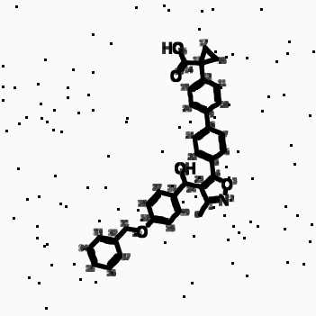 Cc1noc(-c2ccc(-c3ccc(C4(C(=O)O)CC4)cc3)cc2)c1C(O)c1ccc(OCc2ccccc2)cc1